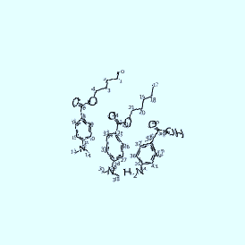 CCCCCOC(=O)c1ccc(N(C)C)cc1.CCCCCOC(=O)c1ccc(N(C)C)cc1.Nc1ccc(C(=O)O)cc1